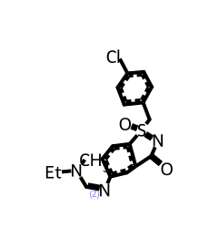 CCN(C)/C=N\c1ccc2c(c1)C(=O)N=S2(=O)Cc1ccc(Cl)cc1